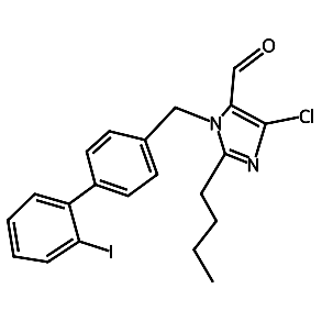 CCCCc1nc(Cl)c(C=O)n1Cc1ccc(-c2ccccc2I)cc1